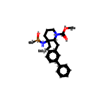 CCOC(=O)CC1(N[S@+]([O-])C(C)(C)C)CCCN(C(=O)OC(C)(C)C)C1Cc1cccc(-c2ccccc2)c1